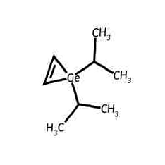 C[CH](C)[Ge]1([CH](C)C)[CH]=[CH]1